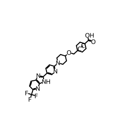 O=C(O)C12CCC(COC3CCN(c4ccc(-c5nc6ccc(C(F)(F)F)nc6[nH]5)cn4)CC3)(CC1)CC2